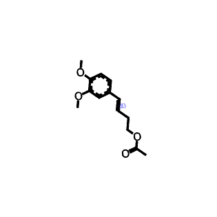 COc1ccc(/C=C/CCOC(C)=O)cc1OC